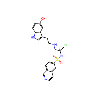 C[C@H](CNCCc1c[nH]c2ccc(O)cc12)NS(=O)(=O)c1ccc2cnccc2c1.Cl